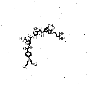 Cn1cc(NC(=O)c2cc(NC(=O)c3cc(NC(=O)c4ccc(N(CCCl)CCCl)cc4)nn3C)cn2C)cc1C(=O)NCCC(=N)N